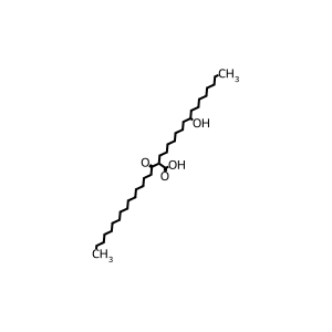 CCCCCCCCCCCCCCCC(=O)C(CCCCCCCC(O)CCCCCCCC)C(=O)O